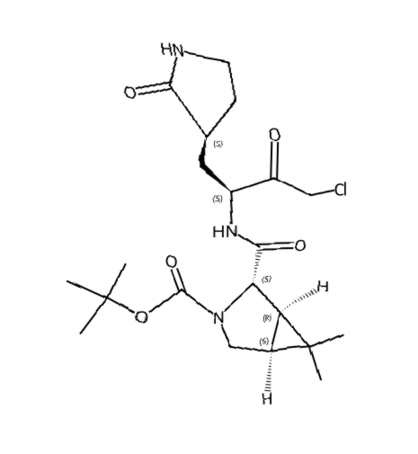 CC(C)(C)OC(=O)N1C[C@H]2[C@@H]([C@H]1C(=O)N[C@@H](C[C@@H]1CCNC1=O)C(=O)CCl)C2(C)C